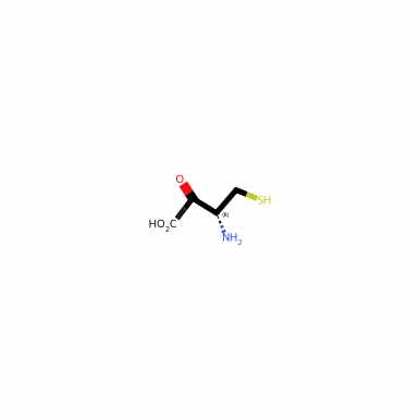 N[C@@H](CS)C(=O)C(=O)O